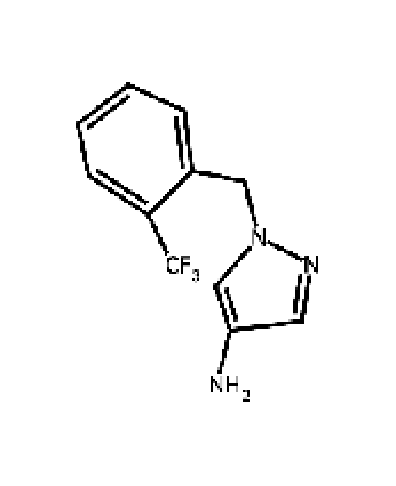 Nc1cnn(Cc2ccccc2C(F)(F)F)c1